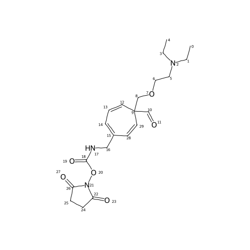 CCN(CC)CCOCC1(C=O)C=CC=C(CNC(=O)ON2C(=O)CCC2=O)C=C1